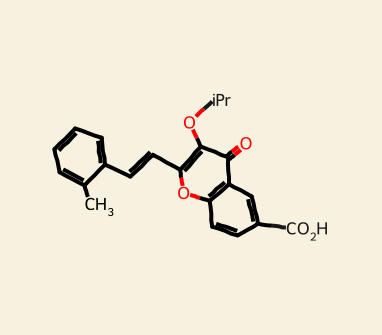 Cc1ccccc1/C=C/c1oc2ccc(C(=O)O)cc2c(=O)c1OC(C)C